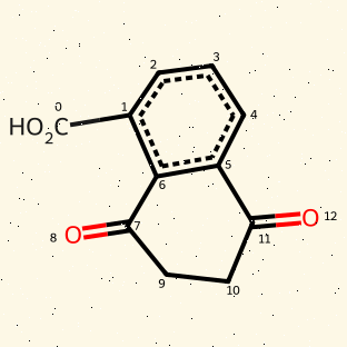 O=C(O)c1cccc2c1C(=O)CCC2=O